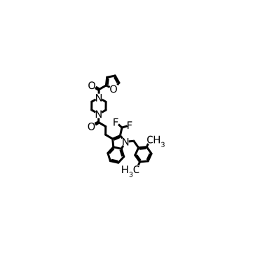 Cc1ccc(C)c(Cn2c(C(F)F)c(CCC(=O)N3CCN(C(=O)c4ccco4)CC3)c3ccccc32)c1